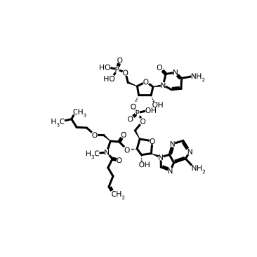 C=CCCC(=O)N(C)[C@@H](COCCC(C)C)C(=O)O[C@H]1[C@@H](O)[C@H](n2cnc3c(N)ncnc32)O[C@@H]1COP(=O)(O)O[C@H]1[C@@H](O)[C@H](n2ccc(N)nc2=O)O[C@@H]1COP(=O)(O)O